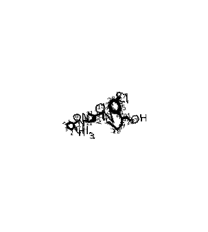 Cc1ccccc1C(=O)Nc1ccc(C(=O)N2CCCC(CCO)c3cc(Cl)ccc32)cn1